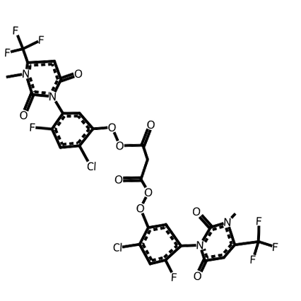 Cn1c(C(F)(F)F)cc(=O)n(-c2cc(OOC(=O)CC(=O)OOc3cc(-n4c(=O)cc(C(F)(F)F)n(C)c4=O)c(F)cc3Cl)c(Cl)cc2F)c1=O